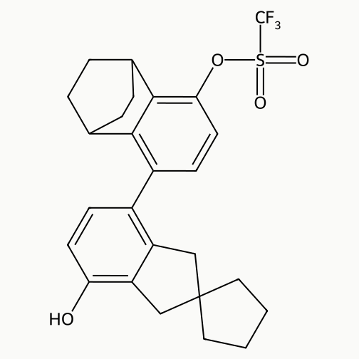 O=S(=O)(Oc1ccc(-c2ccc(O)c3c2CC2(CCCC2)C3)c2c1C1CCC2CC1)C(F)(F)F